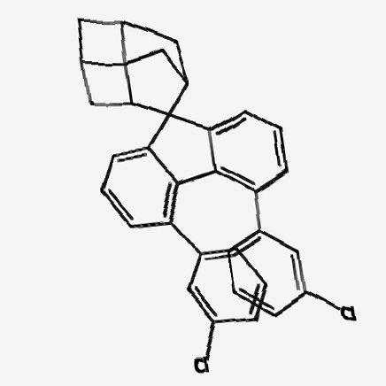 Clc1cccc(-c2cccc3c2-c2c(-c4cccc(Cl)c4)cccc2C32C3CC4CC5CC2C45C3)c1